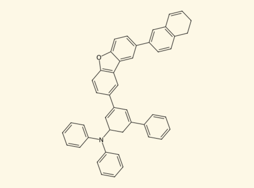 C1=Cc2cc(-c3ccc4oc5ccc(C6=CC(N(c7ccccc7)c7ccccc7)CC(c7ccccc7)=C6)cc5c4c3)ccc2CC1